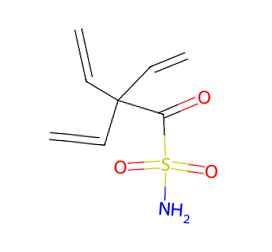 C=CC(C=C)(C=C)C(=O)S(N)(=O)=O